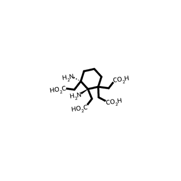 N[C@]1(CC(=O)O)CCCC(CC(=O)O)(CC(=O)O)[C@]1(N)CC(=O)O